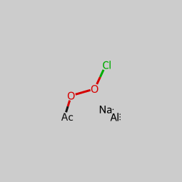 CC(=O)OOCl.[Al].[Na]